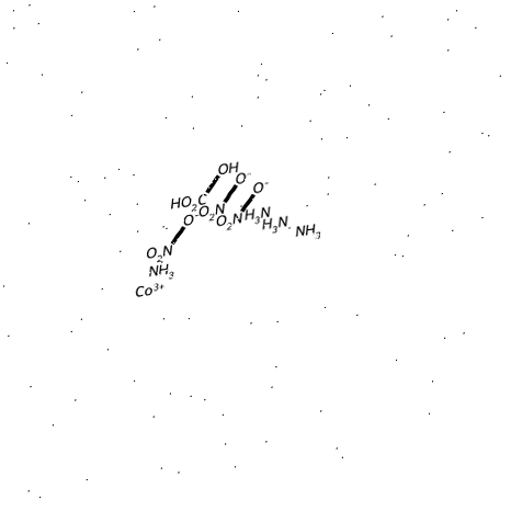 N.N.N.N.O=C(O)O.O=[N+]([O-])[O-].O=[N+]([O-])[O-].O=[N+]([O-])[O-].[Co+3]